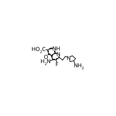 Nc1c(F)c(CCN2CCC(N)C2)nc2[nH]cc(C(=O)O)c(=O)c12